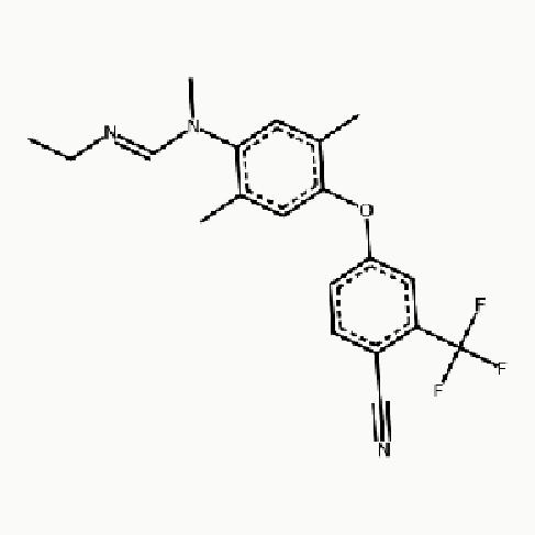 CCN=CN(C)c1cc(C)c(Oc2ccc(C#N)c(C(F)(F)F)c2)cc1C